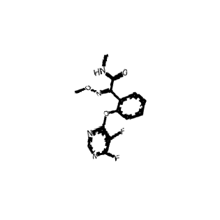 CNC(=O)/C(=N\OC)c1ccccc1Oc1ncnc(F)c1F